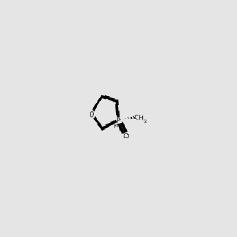 C[P@@]1(=O)CCOC1